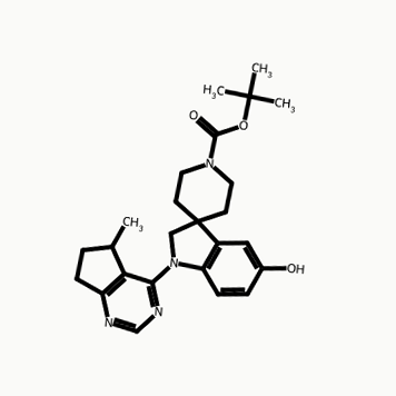 CC1CCc2ncnc(N3CC4(CCN(C(=O)OC(C)(C)C)CC4)c4cc(O)ccc43)c21